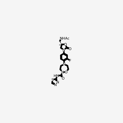 CC(=O)NC[C@H]1CN(c2ccc(N3CCON(C(=O)Nc4nncs4)CC3)c(F)c2)C(=O)O1